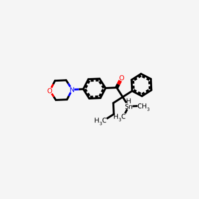 CCC[C](C(=O)c1ccc(N2CCOCC2)cc1)(c1ccccc1)[SnH]([CH3])[CH3]